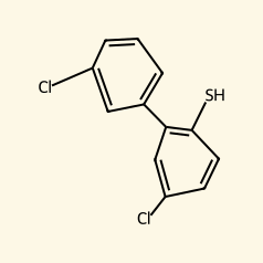 Sc1ccc(Cl)cc1-c1cccc(Cl)c1